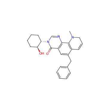 CN1CC=Cc2c(Cc3cc[c]cc3)cc3c(=O)n([C@H]4CCCC[C@@H]4O)cnc3c21